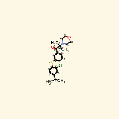 CC(C)c1ccc(Sc2cccc(C(=O)C(C)(C)N3CCOCC3)c2)c(Cl)c1